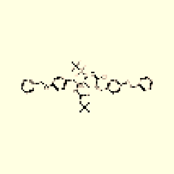 CC(C)(C)OC(=O)N[C@@H](Cc1ccc(OCc2ccccc2)cc1)[C@H](C[C@@H](Cc1ccc(OCc2ccccc2)cc1)C(=O)O)O[Si](C)(C)C(C)(C)C